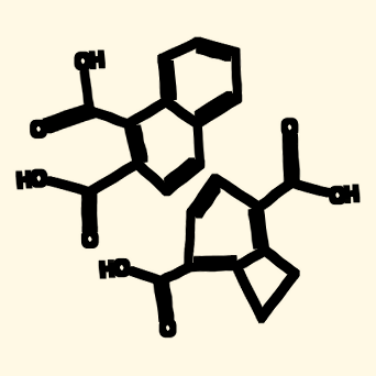 O=C(O)c1ccc(C(=O)O)c2c1CC2.O=C(O)c1ccc2ccccc2c1C(=O)O